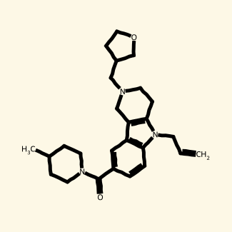 C=CCn1c2c(c3cc(C(=O)N4CCC(C)CC4)ccc31)CN(CC1CCOC1)CC2